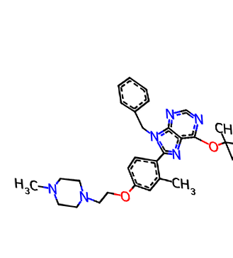 Cc1cc(OCCN2CCN(C)CC2)ccc1-c1nc2c(OC3(C)CC3)ncnc2n1Cc1ccccc1